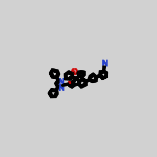 N#Cc1cccc(-c2ccc(-c3ccc4c(c3)C3(c5ccccc5Oc5ccccc53)c3cc(-c5nc(-c6ccccc6)cc(-c6ccccc6)n5)ccc3-4)cc2)c1